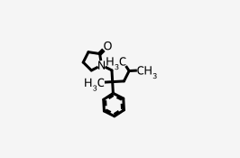 CC(C)CC(C)(CN1CCCC1=O)c1ccccc1